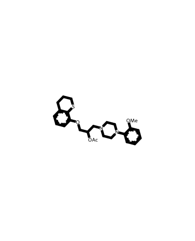 COc1ccccc1N1CCN(CC(COc2cccc3c2SCCC3)OC(C)=O)CC1